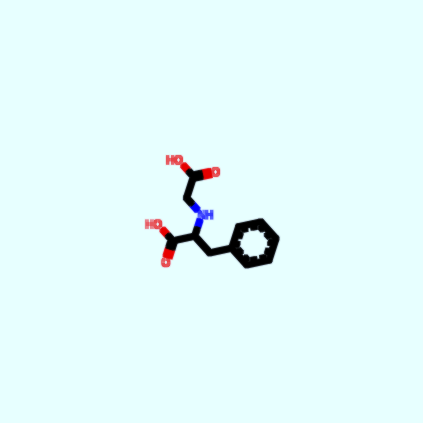 O=C(O)CNC(Cc1ccccc1)C(=O)O